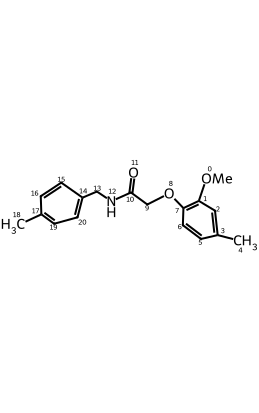 COc1cc(C)ccc1OCC(=O)NCc1ccc(C)cc1